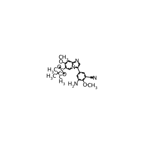 COc1cc2ncc(-c3cc(N)c(OC)c(C#N)c3)n2cc1S(=O)(=O)C(C)(C)C